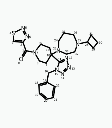 O=C(c1csnn1)N1CCC(c2nnnn2Cc2ccccc2)(N2CCCN(C3CCC3)CC2)CC1